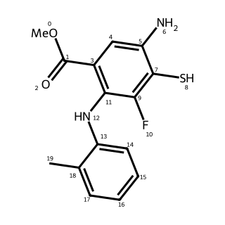 COC(=O)c1cc(N)c(S)c(F)c1Nc1ccccc1C